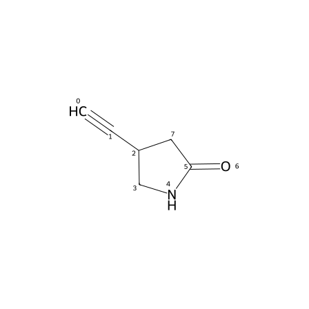 C#CC1CNC(=O)C1